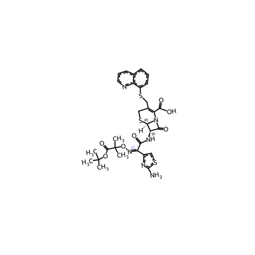 CC(C)(C)OC(=O)C(C)(C)O/N=C(\C(=O)N[C@@H]1C(=O)N2C(C(=O)O)=C(CSc3cccc4cccnc34)CS[C@H]12)c1csc(N)n1